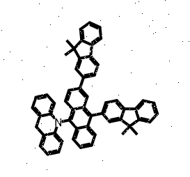 CC1(C)c2ccccc2-c2ccc(-c3ccc4c(N5c6ccccc6Cc6ccccc65)c5ccccc5c(-c5ccc6c(c5)C(C)(C)c5ccccc5-6)c4c3)cc21